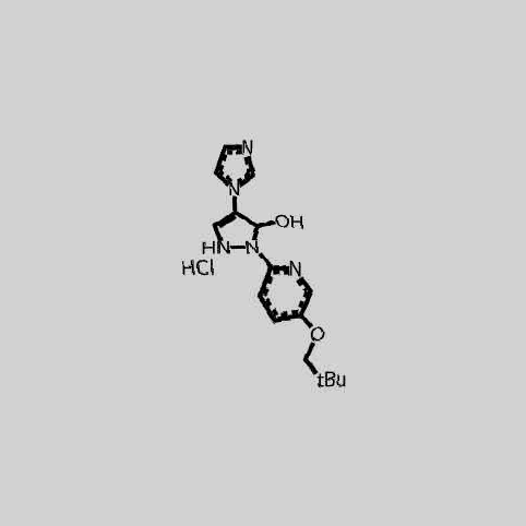 CC(C)(C)COc1ccc(N2NC=C(n3ccnc3)C2O)nc1.Cl